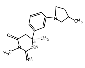 CC1CCN(c2cccc([C@]3(C)CC(=O)N(C)C(=N)N3)c2)C1